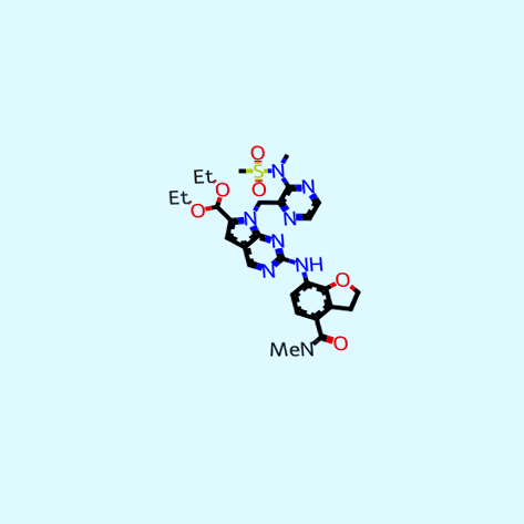 CCOC(OCC)c1cc2cnc(Nc3ccc(C(=O)NC)c4c3OCC4)nc2n1Cc1nccnc1N(C)S(C)(=O)=O